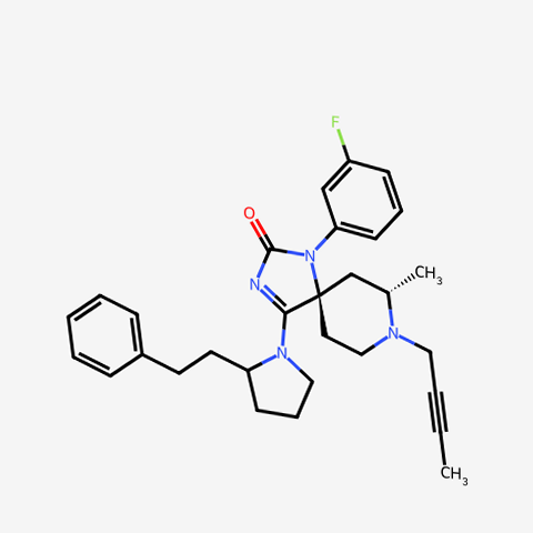 CC#CCN1CC[C@@]2(C[C@@H]1C)C(N1CCCC1CCc1ccccc1)=NC(=O)N2c1cccc(F)c1